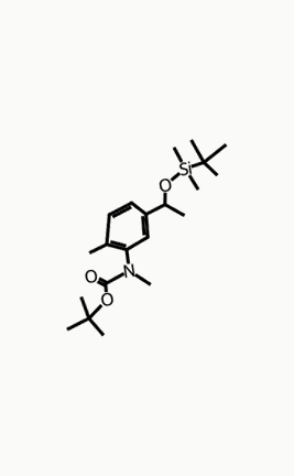 Cc1ccc(C(C)O[Si](C)(C)C(C)(C)C)cc1N(C)C(=O)OC(C)(C)C